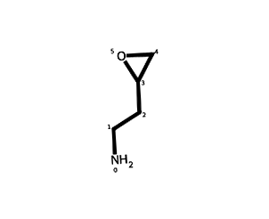 NCCC1CO1